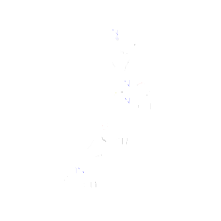 Cc1cc(N2C(=O)C(C)(C)N(CCCOc3ccc(CNC(C)C)cc3C)C2=S)ccc1C#N